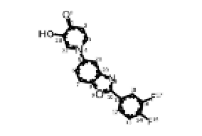 O=c1ccn(-c2ccc3oc(-c4ccc(F)c(F)c4)nc3c2)cc1O